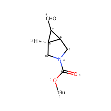 CC(C)(C)OC(=O)N1CC2C(C=O)[C@@H]2C1